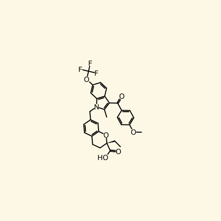 CC[C@@]1(C(=O)O)CCc2ccc(Cn3c(C)c(C(=O)c4ccc(OC)cc4)c4ccc(OC(F)(F)F)cc43)cc2O1